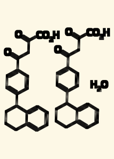 O.O=C(O)C(=O)CC(=O)c1ccc(C2CCCc3ccccc32)cc1.O=C(O)C(=O)CC(=O)c1ccc(C2CCCc3ccccc32)cc1